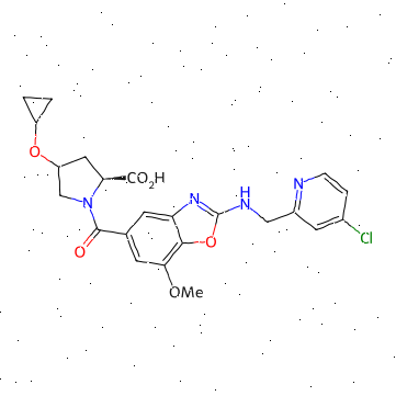 COc1cc(C(=O)N2CC(OC3CC3)C[C@H]2C(=O)O)cc2nc(NCc3cc(Cl)ccn3)oc12